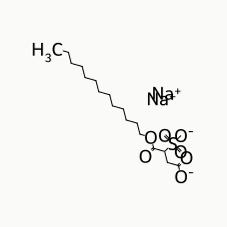 CCCCCCCCCCCCCOC(=O)C(CC(=O)[O-])S(=O)(=O)[O-].[Na+].[Na+]